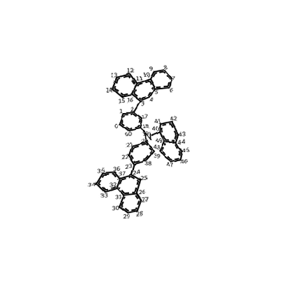 c1cc(-c2cc3ccccc3c3ccccc23)cc(N(c2ccc(-c3cc4ccccc4c4ccccc34)cc2)c2cccc3ccccc23)c1